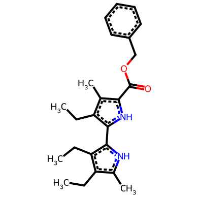 CCc1c(-c2[nH]c(C)c(CC)c2CC)[nH]c(C(=O)OCc2ccccc2)c1C